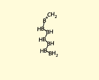 BBBBBBB=C